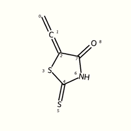 C=C=C1SC(=S)NC1=O